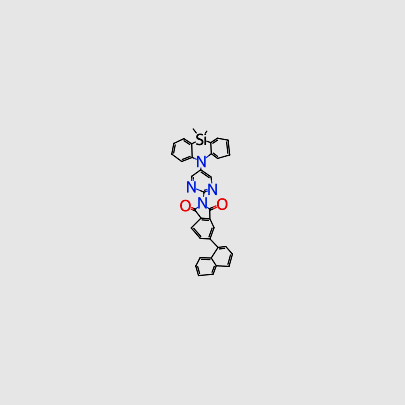 C[Si]1(C)c2ccccc2N(c2cnc(N3C(=O)c4ccc(-c5cccc6ccccc56)cc4C3=O)nc2)c2ccccc21